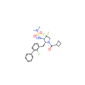 CN(C)S(=O)(=O)N[C@@H]1[C@H](Cc2cccc(-c3ccccc3)c2F)N(C(=O)C2CCC2)CC1(F)F